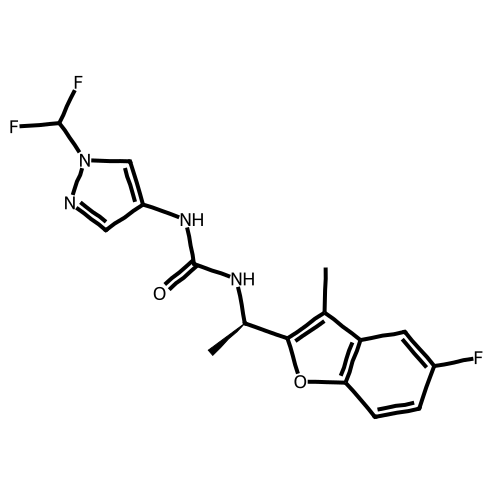 Cc1c([C@@H](C)NC(=O)Nc2cnn(C(F)F)c2)oc2ccc(F)cc12